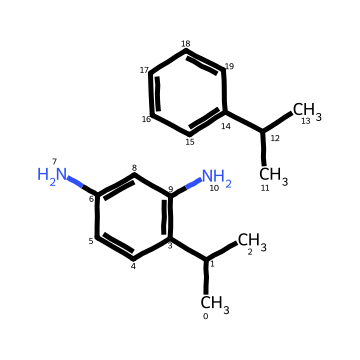 CC(C)c1ccc(N)cc1N.CC(C)c1ccccc1